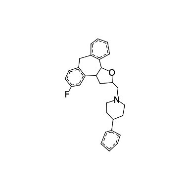 Fc1ccc2c(c1)C1CC(CN3CCC(c4ccccc4)CC3)OC1c1ccccc1C2